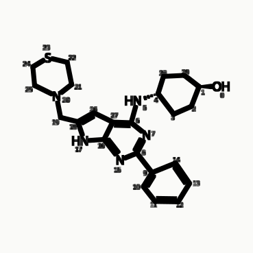 O[C@H]1CC[C@H](Nc2nc(-c3ccccc3)nc3[nH]c(CN4CCSCC4)cc23)CC1